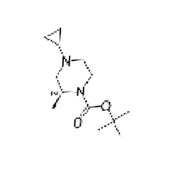 C[C@H]1CN(C2CC2)CCN1C(=O)OC(C)(C)C